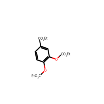 CCOC(=O)Oc1ccc(C(=O)OCC)cc1OC(=O)OCC